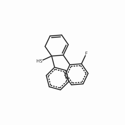 Fc1ccccc1C1=CC=CCC1(S)c1ccccc1